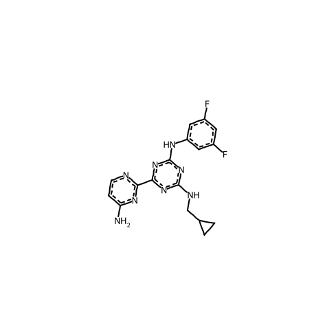 Nc1ccnc(-c2nc(NCC3CC3)nc(Nc3cc(F)cc(F)c3)n2)n1